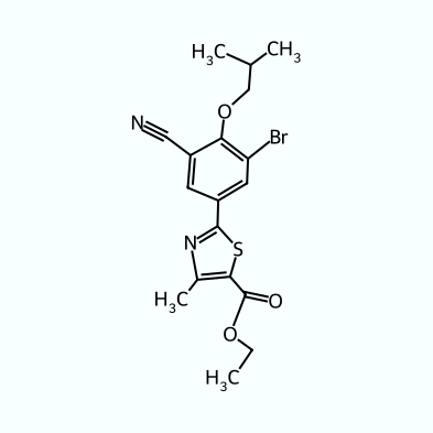 CCOC(=O)c1sc(-c2cc(Br)c(OCC(C)C)c(C#N)c2)nc1C